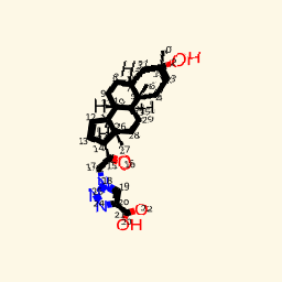 C[C@@]1(O)CC[C@@]2(C)[C@H](CC[C@H]3[C@@H]4C=C[C@H](C(=O)Cn5cc(C(=O)O)nn5)[C@@]4(C)CC[C@@H]32)C1